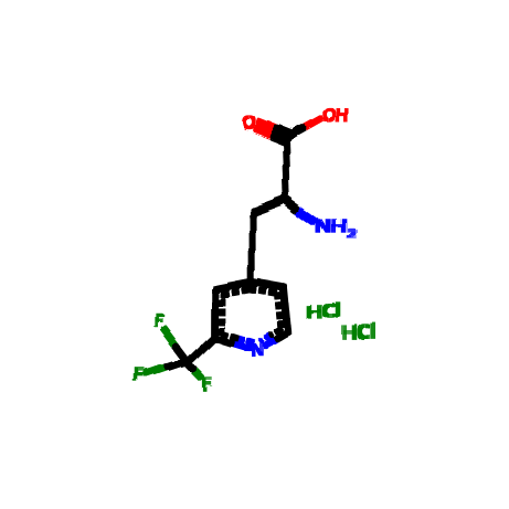 Cl.Cl.NC(Cc1ccnc(C(F)(F)F)c1)C(=O)O